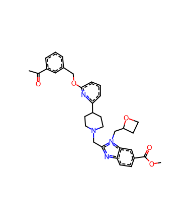 COC(=O)c1ccc2nc(CN3CCC(c4cccc(OCc5cccc(C(C)=O)c5)n4)CC3)n(CC3CCO3)c2c1